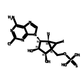 Nc1nc(Cl)nc2c1ncn2[C@H]1[C@H](O)[C@H](O)[C@@]2(COP(O)(O)=S)C(I)[C@H]12